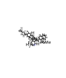 CCc1nc(Nc2cc(C)c(N3CCC(N(C)C)C3)cc2OC)nc(Nc2ccc3nccnc3c2N(C)SC)c1/C=C\N